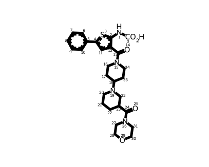 O=C(O)Nc1sc(-c2ccccc2)cc1C(=O)N1CCC(N2CCCC(C(=O)N3CCOCC3)C2)CC1